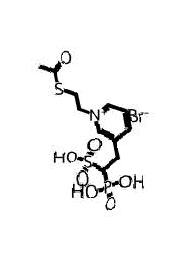 CC(=O)SCC[n+]1cccc(CC(P(=O)(O)O)S(=O)(=O)O)c1.[Br-]